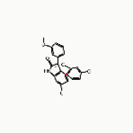 COc1cccc([C@]2(Cc3cccc(Cl)c3)C(=O)Nc3cc(Cl)ccc32)c1